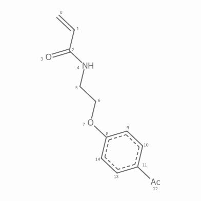 C=CC(=O)NCCOc1ccc(C(C)=O)cc1